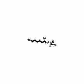 O=S(=O)(O)OSCCCCCCO.[Ni]